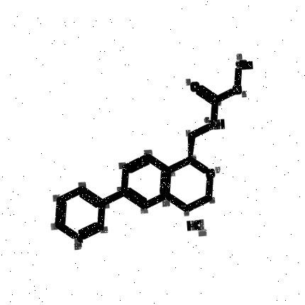 CC(C)(C)OC(=O)NC[C@H]1OCCc2cc(-c3cccnc3)ccc21.Cl